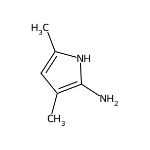 Cc1cc(C)c(N)[nH]1